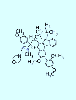 C/C=C(\C=C/CN1CCOCC1)C1(c2ccc(OC)cc2)C=Cc2c3c(c4cc(-c5ccc(OC)cc5OC)c(OC)cc4c2O1)-c1ccccc1C31CC(C)(C)CC(C)(C)C1